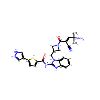 CC(C)(N)C=C(C#N)C(=O)N1CC(Cn2c(NC(=O)c3ccc(-c4cn[nH]c4)s3)nc3ccccc32)C1